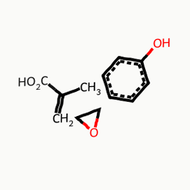 C1CO1.C=C(C)C(=O)O.Oc1ccccc1